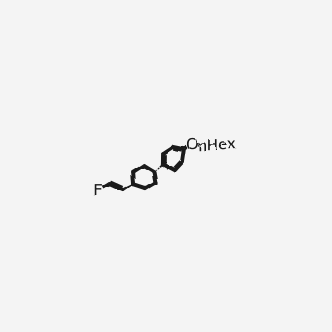 CCCCCCOc1ccc([C@H]2CC[C@H](C=CF)CC2)cc1